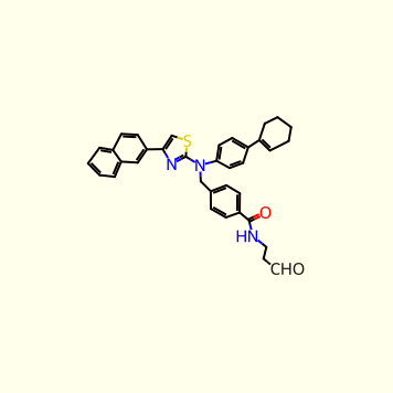 O=CCCNC(=O)c1ccc(CN(c2ccc(C3=CCCCC3)cc2)c2nc(-c3ccc4ccccc4c3)cs2)cc1